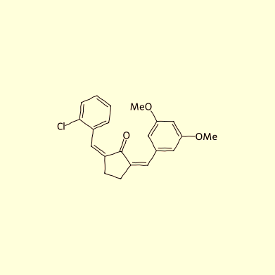 COc1cc(C=C2CCC(=Cc3ccccc3Cl)C2=O)cc(OC)c1